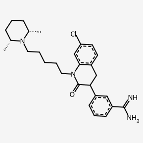 C[C@@H]1CCC[C@H](C)N1CCCCCN1C(=O)C(c2cccc(C(=N)N)c2)Cc2ccc(Cl)cc21